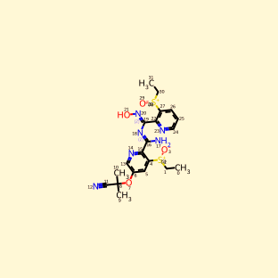 CC[S@@+]([O-])c1cc(OC(C)(C)C#N)cnc1/C(N)=N/C(=N\O)c1ncccc1[S@+]([O-])CC